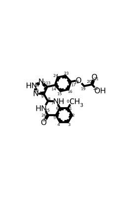 Cc1cccc2c1NC(c1n[nH]nc1-c1ccc(OCC(=O)O)cc1)NC2=O